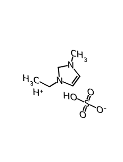 CCN1C=CN(C)C1.O=S(=O)([O-])O.[H+]